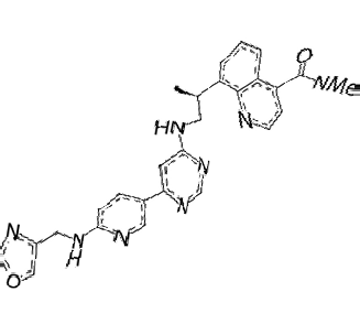 CNC(=O)c1ccnc2c([C@H](C)CNc3cc(-c4ccc(NCc5cocn5)nc4)ncn3)cccc12